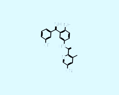 Cc1cc(C#N)cnc1C(=O)Nc1ccc(N)c(C(=N)c2cccc(C(F)(F)F)c2)c1